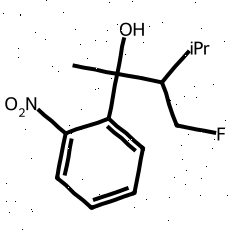 CC(C)C(CF)C(C)(O)c1ccccc1[N+](=O)[O-]